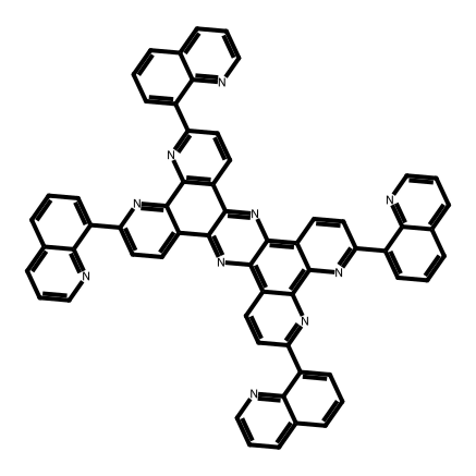 c1cnc2c(-c3ccc4c(n3)c3nc(-c5cccc6cccnc56)ccc3c3nc5c6ccc(-c7cccc8cccnc78)nc6c6nc(-c7cccc8cccnc78)ccc6c5nc43)cccc2c1